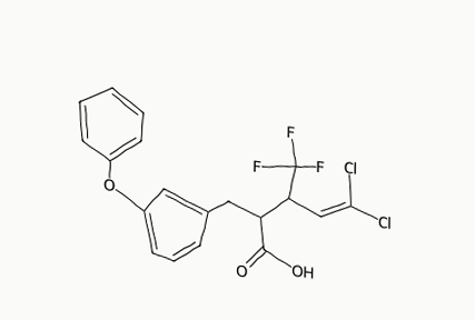 O=C(O)C(Cc1cccc(Oc2ccccc2)c1)C(C=C(Cl)Cl)C(F)(F)F